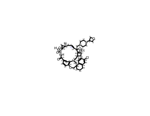 CCO[C@@]1(CN2CCN(C3COC3)CC2)/C=C/C[C@@H]2C[C@@]2(C)S(=O)(=O)NC(=O)c2ccc3c(c2)N(C[C@@H]2CC[C@H]21)C[C@@]1(CCCc2cc(Cl)ccc21)CO3